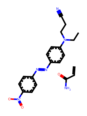 C=CC(N)=O.CCN(CCC#N)c1ccc(/N=N/c2ccc([N+](=O)[O-])cc2)cc1